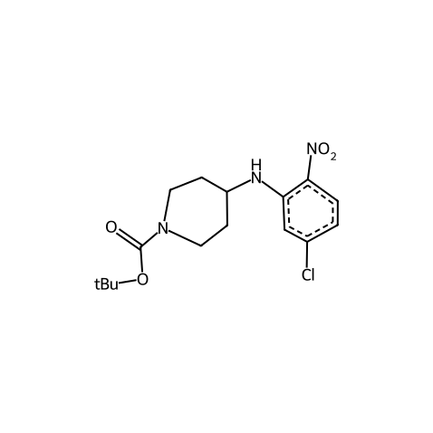 CC(C)(C)OC(=O)N1CCC(Nc2cc(Cl)ccc2[N+](=O)[O-])CC1